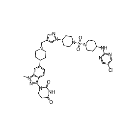 Cn1nc(N2CCC(=O)NC2=O)c2ccc(C3CCN(Cc4cnn(C5CCN(S(=O)(=O)N6CCC(Nc7ncc(Cl)cn7)CC6)CC5)c4)CC3)cc21